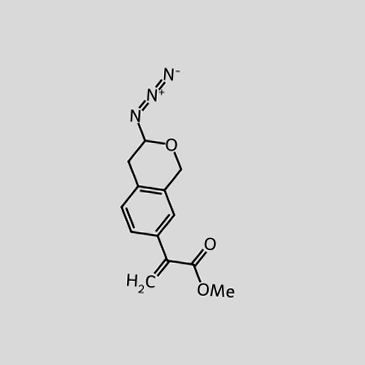 C=C(C(=O)OC)c1ccc2c(c1)COC(N=[N+]=[N-])C2